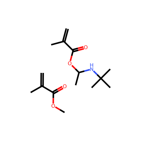 C=C(C)C(=O)OC.C=C(C)C(=O)OC(C)NC(C)(C)C